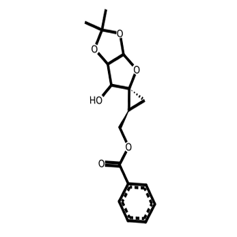 CC1(C)OC2O[C@]3(C[C@H]3COC(=O)c3ccccc3)C(O)C2O1